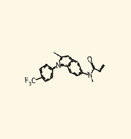 C=CC(=O)N(C)c1ccc2c(c1)cc(C)n2-c1ccc(C(F)(F)F)cc1